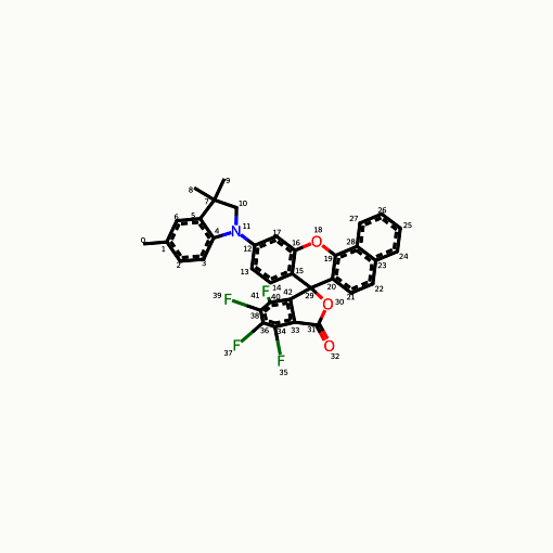 Cc1ccc2c(c1)C(C)(C)CN2c1ccc2c(c1)Oc1c(ccc3ccccc13)C21OC(=O)c2c(F)c(F)c(F)c(F)c21